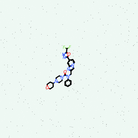 O=C(N1CCN(C2CCOCC2)CC1)N(Cc1cn2ccc(-c3nnc(C(F)F)o3)cc2n1)c1ccccc1